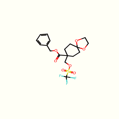 O=C(OCc1ccccc1)C1(COS(=O)(=O)C(F)(F)F)CCC2(CC1)OCCO2